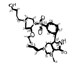 CCCN1CC2=C(C(=O)NC2c2cccc(S(=O)(=O)N3CCN(CCCO)CC3OCC)c2)N(C)C1